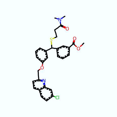 COC(=O)c1cccc(C(SCCC(=O)N(C)C)c2cccc(OCc3ccc4ccc(Cl)cc4n3)c2)c1